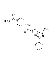 CCC(C(=O)O)N1CCC(NC(=O)c2cc3c(C)nn(C4CCCCC4)c3s2)CC1